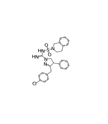 N=C(NS(=O)(=O)N1CCc2ccccc2C1)N1CC(c2ccccc2)C(Cc2ccc(Cl)cc2)=N1